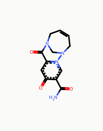 NC(=O)c1cn2c(cc1=O)C(=O)N1CC=CCN2C1